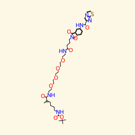 C[C@H](CCCCNC(=O)OC(C)(C)C)C(=O)NCCOCCOCCOCCOCCNC(=O)CCCn1oc2ccc(NC(=O)c3cn4ccsc4n3)cc2c1=O